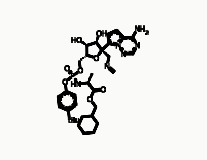 C=NC[C@@]1(c2ccc3c(N)ncnn23)O[C@H](COP(=O)(N[C@@H](C)C(=O)OCC2CCCCC2)Oc2ccc(C(C)(C)C)cc2)[C@@H](O)[C@H]1O